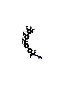 C/C=C/CC/C(F)=C(\F)c1ccc(-c2ccc(OC(F)(F)c3ccc(-c4cc(F)c(F)c(F)c4)c(F)c3)cc2)cc1